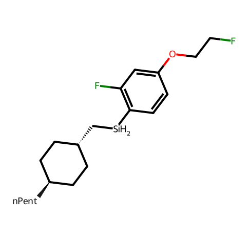 CCCCC[C@H]1CC[C@H](C[SiH2]c2ccc(OCCF)cc2F)CC1